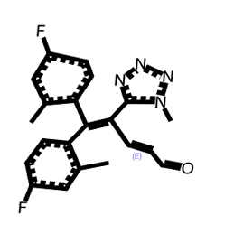 Cc1cc(F)ccc1C(=C(/C=C/C=O)c1nnnn1C)c1ccc(F)cc1C